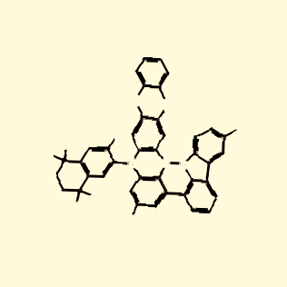 Cc1cc2c3c(c1)N(c1cc4c(cc1C)C(C)(C)CCC4(C)C)c1cc4c(cc1B3n1c3ccc(C(C)(C)C)cc3c3cccc-2c31)Sc1ccccc1S4